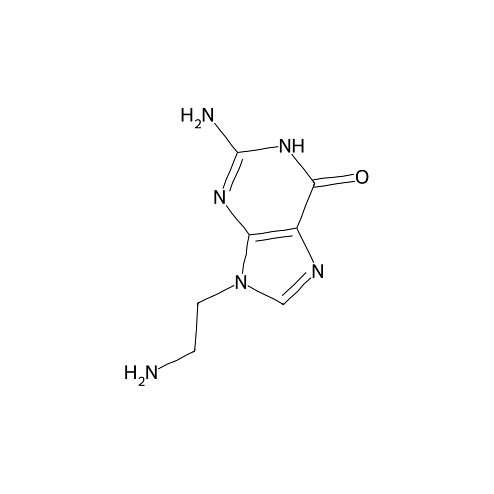 NCCn1cnc2c(=O)[nH]c(N)nc21